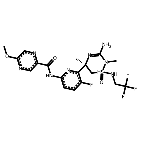 COc1cnc(C(=O)Nc2ccc(F)c([C@]3(C)C[SH](=O)(NCC(F)(F)F)N(C)C(N)=N3)n2)cn1